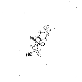 C=C1CN(S(=O)(=O)c2ccc(C(F)(F)F)cc2C#N)C[C@H]1O